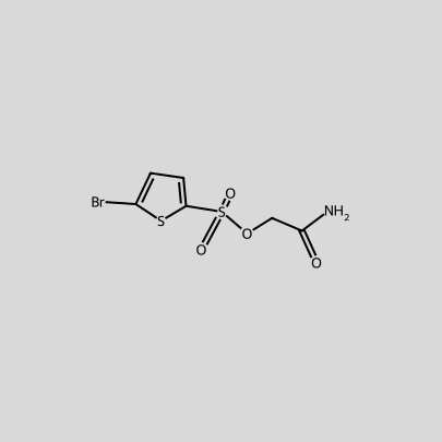 NC(=O)COS(=O)(=O)c1ccc(Br)s1